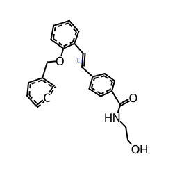 O=C(NCCO)c1ccc(/C=C/c2ccccc2OCc2ccccc2)cc1